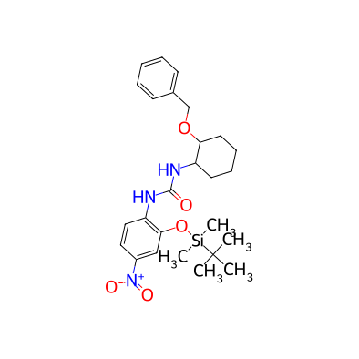 CC(C)(C)[Si](C)(C)Oc1cc([N+](=O)[O-])ccc1NC(=O)NC1CCCCC1OCc1ccccc1